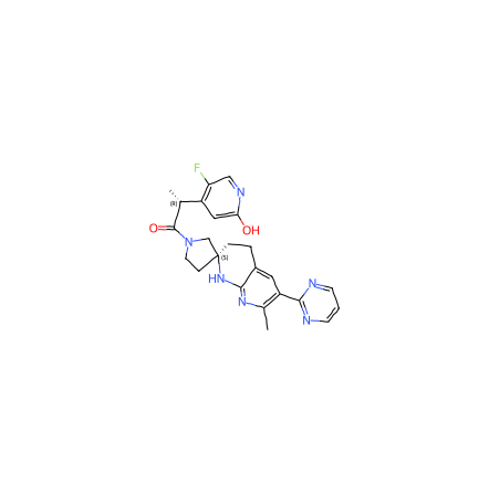 Cc1nc2c(cc1-c1ncccn1)CC[C@@]1(CCN(C(=O)[C@H](C)c3cc(O)ncc3F)C1)N2